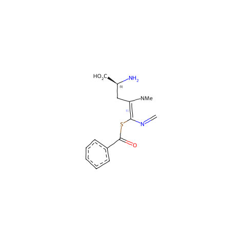 C=N/C(SC(=O)c1ccccc1)=C(/C[C@H](N)C(=O)O)NC